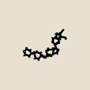 CC1=Nc2ccc(-c3ccn4nc(N=C5CCC(N6CCOCC6)CC5)ncc34)nc2C1C